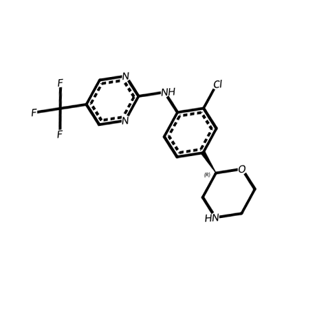 FC(F)(F)c1cnc(Nc2ccc([C@@H]3CNCCO3)cc2Cl)nc1